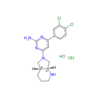 Cl.Cl.Nc1nc(-c2ccc(Cl)c(Cl)c2)cc(N2C[C@H]3CCCN[C@H]3C2)n1